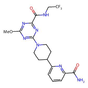 COc1nc(C(=O)NCC(F)(F)F)nc(N2CCC(c3cccc(C(N)=O)n3)CC2)n1